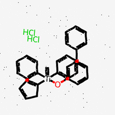 Cl.Cl.[CH2]=[Ti]([O]c1cccc(-c2ccccc2)c1)([C]1=CC=CC1)([c]1ccccc1)[c]1ccccc1